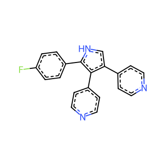 Fc1ccc(-c2[nH]cc(-c3ccncc3)c2-c2ccncc2)cc1